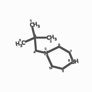 CC(C)(C)CN1CCBCC1